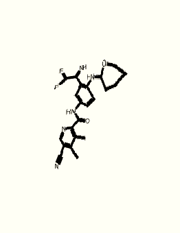 Cc1c(C#N)cnc(C(=O)Nc2ccc(NC3CCCCO3)c(C(=N)C(F)F)c2)c1C